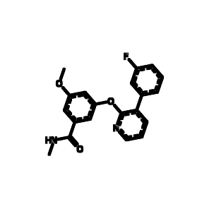 CNC(=O)c1cc(OC)cc(Oc2ncccc2-c2cccc(F)c2)c1